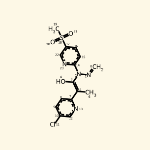 C=NN(/C(O)=C(\C)c1ccc(Cl)cn1)c1ccc(S(C)(=O)=O)cn1